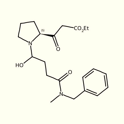 CCOC(=O)CC(=O)[C@@H]1CCCN1C(O)CCC(=O)N(C)Cc1ccccc1